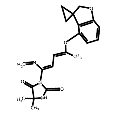 C=N/C(=C\C=C(/C)Oc1cccc2c1C1(CC1)CO2)N1C(=O)NC(C)(C)C1=O